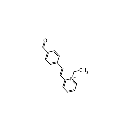 CC[n+]1ccccc1C=Cc1ccc(C=O)cc1